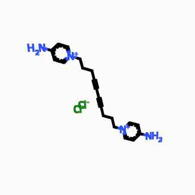 Nc1cc[n+](CCCC#CC#CCCC[n+]2ccc(N)cc2)cc1.[Cl-].[Cl-]